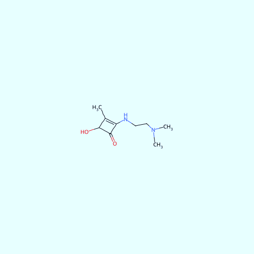 CC1=C(NCCN(C)C)C(=O)C1O